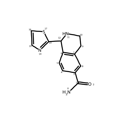 NC(=O)c1ccc2c(c1)CCNC2c1nccs1